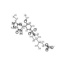 CCCc1nn(C)c2c(=O)[nH]c(-c3cc(S(=O)(=O)N4CCC(C(CC)CCO[N+](=O)[O-])CC4)ccc3OCC)nc12